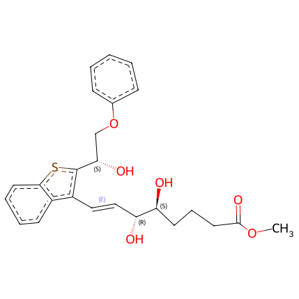 COC(=O)CCC[C@H](O)[C@H](O)/C=C/c1c([C@@H](O)COc2ccccc2)sc2ccccc12